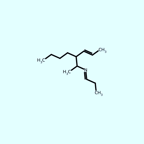 C/C=C/C(CCCC)C(C)/N=C/CC